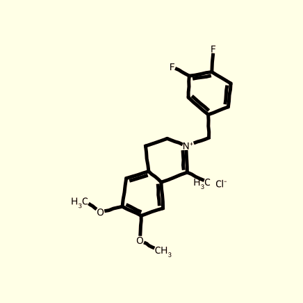 COc1cc2c(cc1OC)C(C)=[N+](Cc1ccc(F)c(F)c1)CC2.[Cl-]